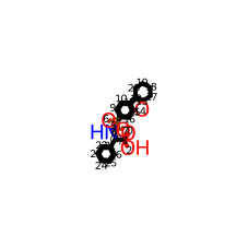 O=C(O)[C@H](NS(=O)(=O)c1ccc2c3c(oc2c1)CCCC3)c1ccccc1